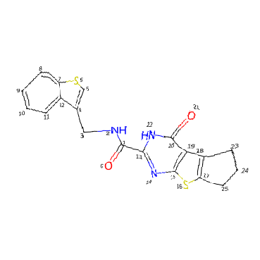 O=C(NCc1csc2ccccc12)c1nc2sc3c(c2c(=O)[nH]1)CCC3